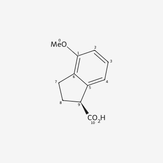 COc1cccc2c1CC[C@@H]2C(=O)O